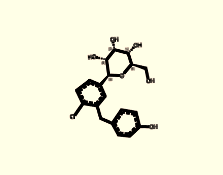 OC[C@H]1O[C@@H](c2ccc(Cl)c(Cc3ccc(O)cc3)c2)[C@H](O)[C@H](O)[C@@H]1O